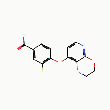 NC(=O)c1ccc(Oc2ccnc3c2NCCO3)c(F)c1